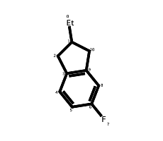 CCC1Cc2ccc(F)cc2C1